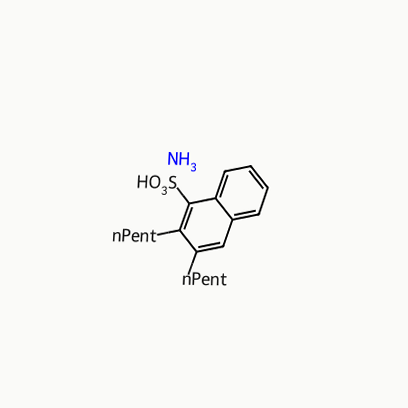 CCCCCc1cc2ccccc2c(S(=O)(=O)O)c1CCCCC.N